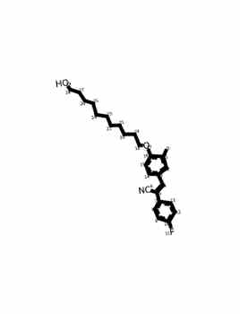 Cc1cc(/C=C(\C#N)c2ccc(F)cc2)ccc1OCCCCCCCCCCCO